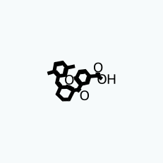 Cc1ccc(C)c(/C=C2/CCCc3c2oc2ccc(C(=O)O)cc2c3=O)c1